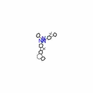 CC1(C)c2ccccc2-c2ccc(-c3nc(-c4ccccc4)nc(-c4ccc5c(c4)C(C)(C)c4cc6c(cc4-5)CCCc4ccccc4-6)n3)cc21